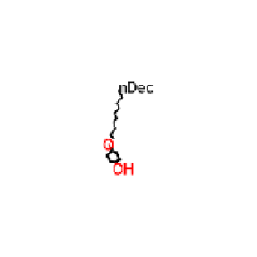 CCCCCCCCCCCCCCCCCCCCOc1ccc(O)cc1